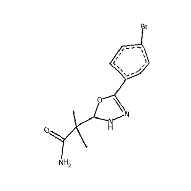 CC(C)(C(N)=O)C1NN=C(c2ccc(Br)cc2)O1